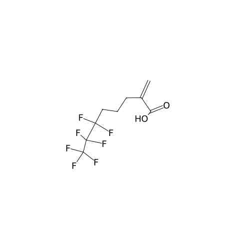 C=C(CCCC(F)(F)C(F)(F)C(F)(F)F)C(=O)O